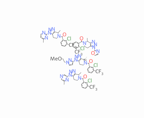 CC1c2nnn(-c3ncco3)c2CCN1C(=O)c1cccc(C(F)(F)F)c1Cl.COCCn1ccc(-n2nnc3c2CCN(C(=O)c2cccc(C(F)(F)F)c2Cl)[C@H]3C)n1.Cc1ccnc(-n2nnc3c2CCN(C(=O)c2cccc(C(F)(F)F)c2Cl)C3C)n1.Cc1cncc(-n2nnc3c2CCN(C(=O)c2cccc(C(F)(F)F)c2Cl)C3C)n1